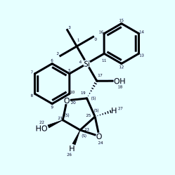 CC(C)(C)[Si](c1ccccc1)(c1ccccc1)C(O)[C@H]1O[C@H](O)[C@H]2O[C@@H]21